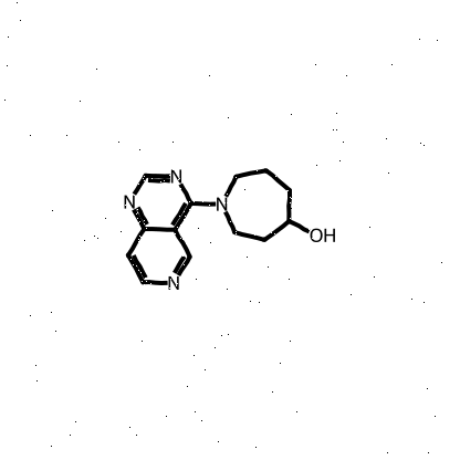 OC1CCCN(c2ncnc3ccncc23)CC1